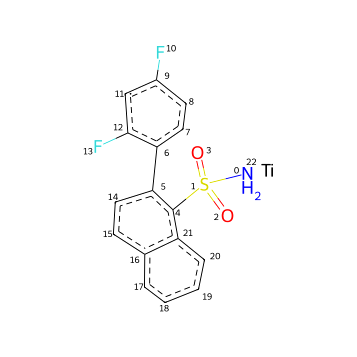 NS(=O)(=O)c1c(-c2ccc(F)[c]c2F)ccc2ccccc12.[Ti]